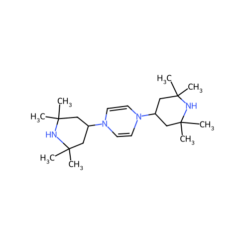 CC1(C)CC(N2C=CN(C3CC(C)(C)NC(C)(C)C3)C=C2)CC(C)(C)N1